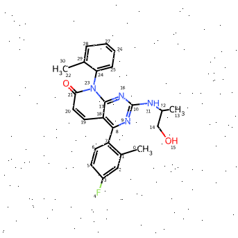 Cc1cc(F)ccc1-c1nc(NC(C)CO)nc2c1ccc(=O)n2-c1ccccc1C